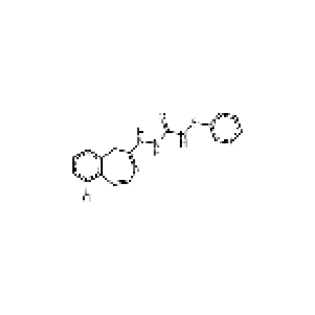 O=C(NNC1=NC=Cc2c(Cl)cccc2C1)NSc1ccccc1